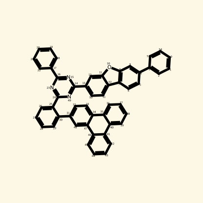 c1ccc(-c2ccc3c(c2)oc2cc(-c4nc(-c5ccccc5)nc(-c5ccccc5-c5ccc6c7ccccc7c7ccccc7c6c5)n4)ccc23)cc1